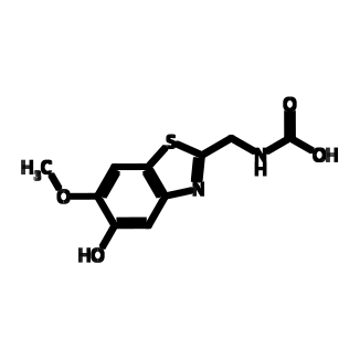 COc1cc2sc(CNC(=O)O)nc2cc1O